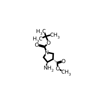 COC(=O)[C@H]1CN(C(=O)OC(C)(C)C)C[C@@H]1N